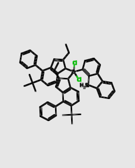 CCC1=Cc2c(ccc(C(C)(C)C)c2-c2ccccc2)[CH]1[Zr]([Cl])([Cl])([c]1cccc2c1[SiH2]c1ccccc1-2)[CH]1C(CC)=Cc2c1ccc(C(C)(C)C)c2-c1ccccc1